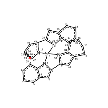 c1ccc2c(c1)cc1n2[Si]2(n3c-1cc1ccccc13)n1c(cc3ccccc31)-c1cc3ccccc3n12